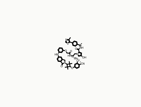 Cc1ncsc1-c1ccc([C@@H](C)NC(=O)c2cc(O)cn2C[C@@H](NC(=O)COc2cccc(Nc3ccc4c(c3)CN(C3C(C)(C)C(Oc5ccc(C#N)c(C(F)(F)F)c5)C3(C)C)C4=O)c2)C(C)(C)C)cc1